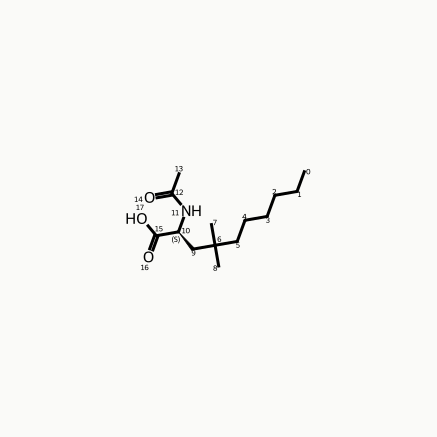 CCCCCCC(C)(C)C[C@H](NC(C)=O)C(=O)O